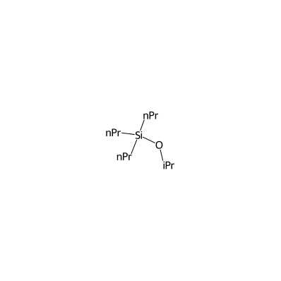 CCC[Si](CCC)(CCC)OC(C)C